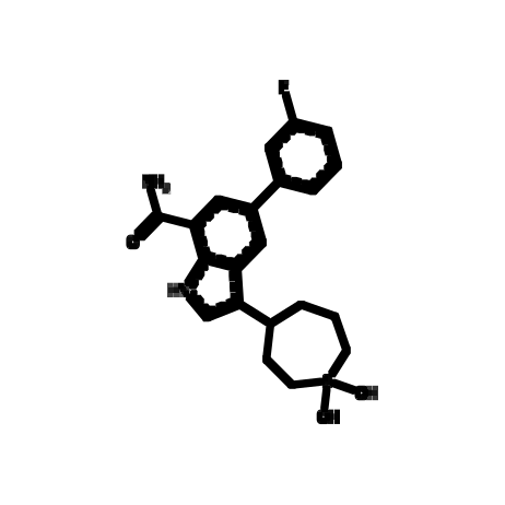 NC(=O)c1cc(-c2cccc(F)c2)cc2c(C3CCCS(O)(O)CC3)c[nH]c12